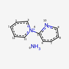 N.c1cc[n+](-c2ccccn2)cc1